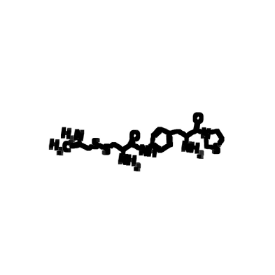 C=C(N)CSSCC(N)C(=O)Nc1ccc(CC(N)C(=O)N2CCSC2)cc1